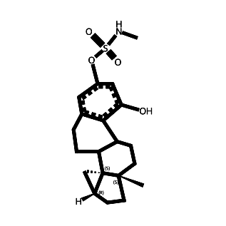 CNS(=O)(=O)Oc1cc(O)c2c(c1)CCC1C2CC[C@]2(C)CC[C@@H]3C[C@@]132